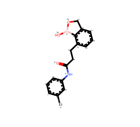 CCc1cccc(NC(=O)CCc2cccc3c2B(O)OC3)c1